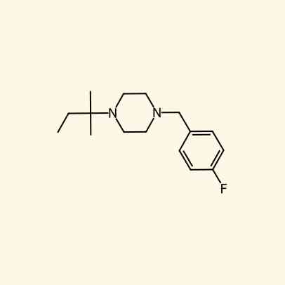 CCC(C)(C)N1CCN(Cc2ccc(F)cc2)CC1